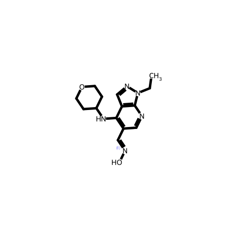 CCn1ncc2c(NC3CCOCC3)c(/C=N/O)cnc21